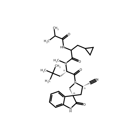 CC(C)C(=O)NC(CC1CC1)C(=O)N(C)[C@@H](CC(C)(C)C)C(=O)N1C[C@]2(C[C@H]1C#N)C(=O)Nc1ccccc12